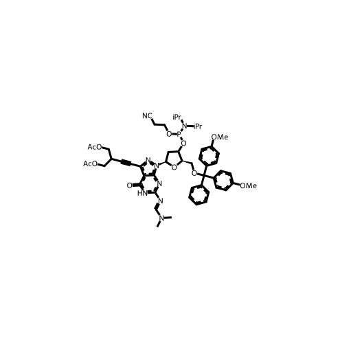 COc1ccc(C(OC[C@H]2O[C@@H](n3nc(C#CC(COC(C)=O)COC(C)=O)c4c(=O)[nH]c(/N=C/N(C)C)nc43)CC2OP(OCCC#N)N(C(C)C)C(C)C)(c2ccccc2)c2ccc(OC)cc2)cc1